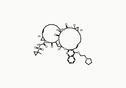 CC1(S(=O)(=O)NC(=O)[C@@]23C[C@H]2/C=C\CCCCC[C@@H]2NC(=O)O[C@@H]4C[C@H]4CCC/C=C/c4c(nc5ccccc5c4OCCN4CCCC4)O[C@@H]4C[C@H](C(=O)N3)N(C4)C2=O)CC1